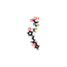 CC(O)(CC=C[C@H]1CCC(=O)[C@@H]1CCSc1nc(C(=O)O)cs1)CC1CCC1